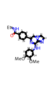 CCNC(=O)c1ccc(-c2cn3ccnc3c(Nc3ccc(OC)c(OC)c3)n2)cc1